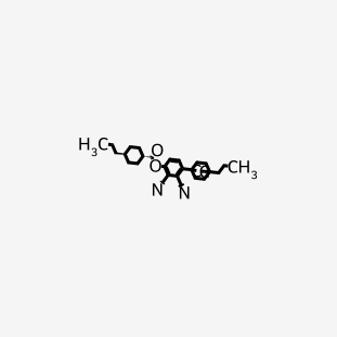 CCCC12CCC(c3ccc(OC(=O)[C@H]4CC[C@H](CCC)CC4)c(C#N)c3C#N)(CC1)CC2